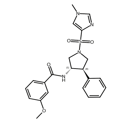 COc1cccc(C(=O)N[C@@H]2CN(S(=O)(=O)c3cn(C)cn3)C[C@H]2c2ccccc2)c1